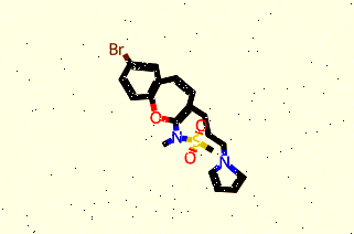 CN(C1=C(CCCn2cccc2)C=Cc2cc(Br)ccc2O1)S(C)(=O)=O